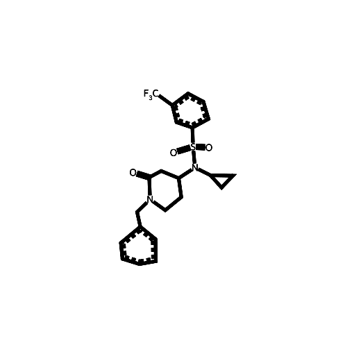 O=C1CC(N(C2CC2)S(=O)(=O)c2cccc(C(F)(F)F)c2)CCN1Cc1ccccc1